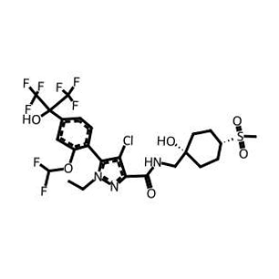 CCn1nc(C(=O)NC[C@]2(O)CC[C@@H](S(C)(=O)=O)CC2)c(Cl)c1-c1ccc(C(O)(C(F)(F)F)C(F)(F)F)cc1OC(F)F